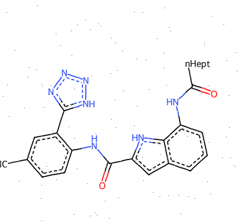 CCCCCCCC(=O)Nc1cccc2cc(C(=O)Nc3ccc(C#N)cc3-c3nnn[nH]3)[nH]c12